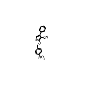 N#Cc1c(-c2ccccc2)csc1OCc1ccc([N+](=O)[O-])cc1